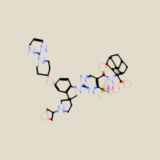 O=C(NC1(C(=O)O)C2CC3CC(C2)CC1C3)c1cnc(N2CC3(CCN(C4COC4)C3)c3cc(OC4CCN(c5ncccn5)CC4)ccc32)nc1C(F)(F)F